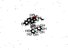 CCC[C@@H]1O[C@@H]2C[C@H]3[C@@H]4CCC5=CC(=O)C=C[C@]5(C)[C@H]4[C@@H](O)C[C@]3(C)[C@]2(C(=O)CO)O1.OC[C@H]1O[C@@H](O[C@H]2[C@H](O)[C@@H](O)[C@H](O)O[C@@H]2CO)[C@H](O)[C@@H](O)[C@H]1O